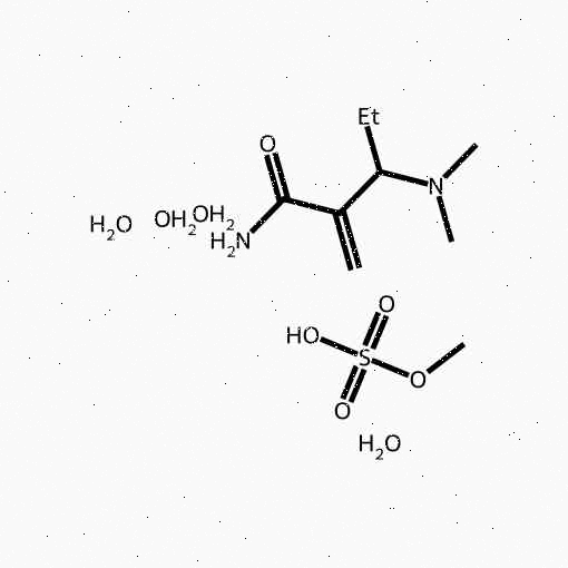 C=C(C(N)=O)C(CC)N(C)C.COS(=O)(=O)O.O.O.O.O